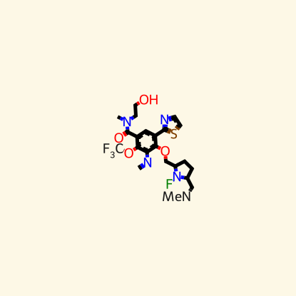 C=Nc1c(OC(F)(F)F)c(C(=O)N(C)CCO)cc(-c2nccs2)c1OCC1CCC(CNC)N1F